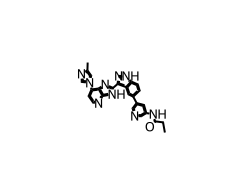 CCC(=O)Nc1cncc(-c2ccc3[nH]nc(-c4nc5c(-n6cnc(C)c6)ccnc5[nH]4)c3c2)c1